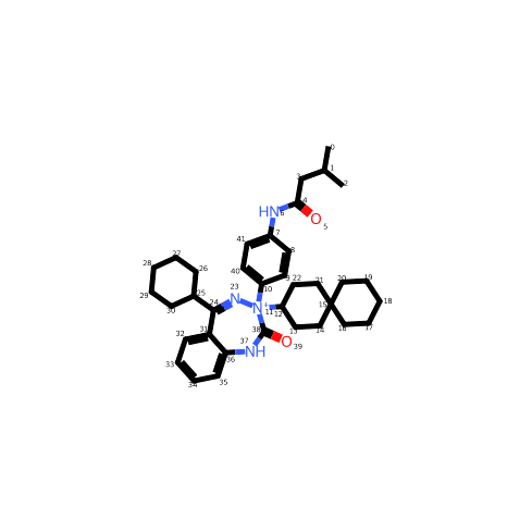 CC(C)CC(=O)Nc1ccc([N+]2(C3CCC4(CCCCC4)CC3)N=C(C3CCCCC3)c3ccccc3NC2=O)cc1